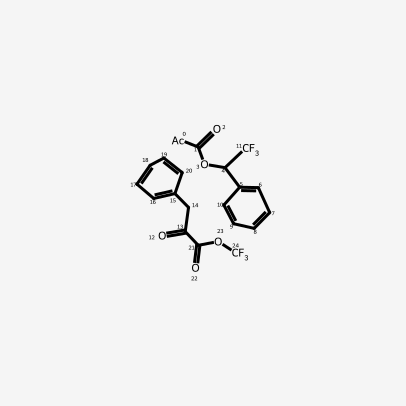 CC(=O)C(=O)OC(c1ccccc1)C(F)(F)F.O=C(Cc1ccccc1)C(=O)OC(F)(F)F